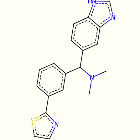 CN(C)C(c1cccc(-c2nccs2)c1)c1ccc2[nH]cnc2c1